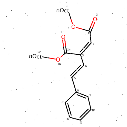 CCCCCCCCOC(=O)C=C(C=Cc1ccccc1)C(=O)OCCCCCCCC